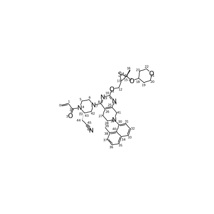 C=CC(=O)N1CCN(c2nc(OCC3S[C@]3(C)OC3CCOCC3)nc3c2CCN(c2cccc4cccc(C)c24)C3)C[C@@H]1CC#N